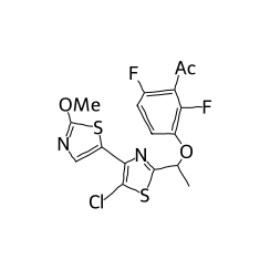 COc1ncc(-c2nc(C(C)Oc3ccc(F)c(C(C)=O)c3F)sc2Cl)s1